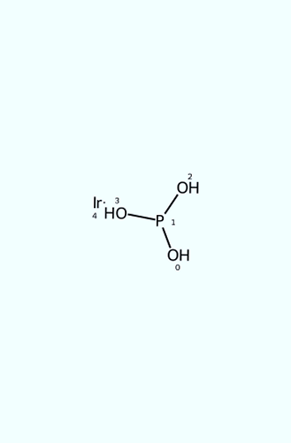 OP(O)O.[Ir]